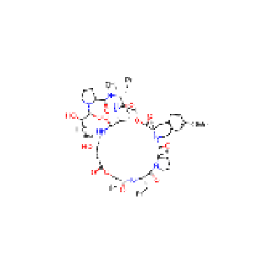 CC[C@H](C)[C@@H]1NC(=O)[C@H](NC(=O)[C@@H](CC(C)C)N(C)C(=O)[C@@H]2CCCN2C(=O)[C@@H](C)O)[C@H](C)OC(=O)[C@@H]2Cc3ccc(OC)cc3CN2C(=O)[C@@H]2CCCN2C(=O)[C@H](CC(C)C)NC(=O)[C@H](C(C)C)OC(=O)C[C@@H]1O